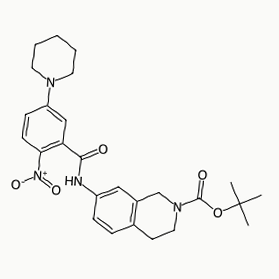 CC(C)(C)OC(=O)N1CCc2ccc(NC(=O)c3cc(N4CCCCC4)ccc3[N+](=O)[O-])cc2C1